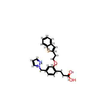 O=C(O)CCc1ccc(Cn2cccn2)cc1OCCc1cc2ccccc2s1